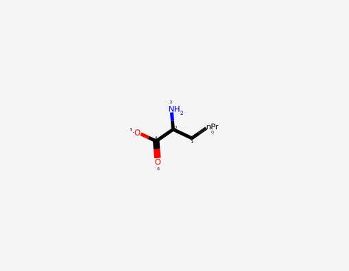 CCCCC(N)C([O])=O